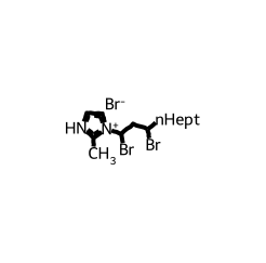 CCCCCCCC(Br)CC(Br)[n+]1cc[nH]c1C.[Br-]